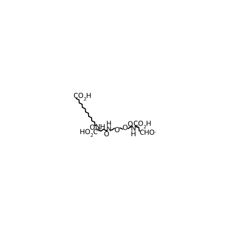 O=[C]CC[C@H](NC(=O)COCCOCCNC(=O)CC[C@H](NC(=O)CCCCCCCCCCCCC(=O)O)C(=O)O)C(=O)O